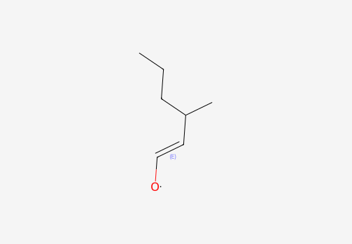 CCCC(C)/C=C/[O]